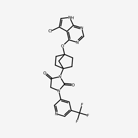 O=C1CN(c2cncc(C(F)(F)F)c2)C(=O)N1C12CCC(Oc3ncnc4[nH]cc(Cl)c34)(CC1)C2